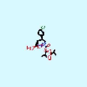 CC(C)C(=O)OC(OC(=O)NCC(CC(=O)O)c1ccc(Cl)cc1)C(C)C